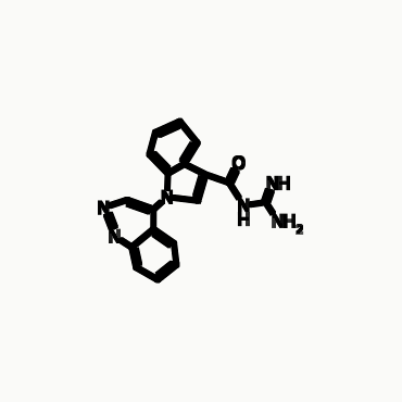 N=C(N)NC(=O)c1cn(-c2cnnc3ccccc23)c2ccccc12